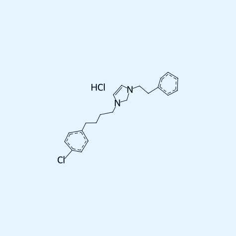 Cl.Clc1ccc(CCCCN2C=CN(CCc3ccccc3)C2)cc1